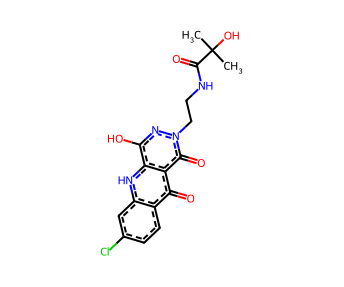 CC(C)(O)C(=O)NCCn1nc(O)c2[nH]c3cc(Cl)ccc3c(=O)c2c1=O